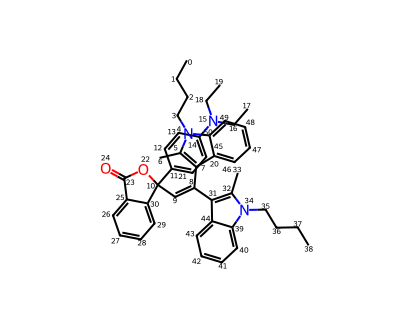 CCCCn1c(C)c(C(=CC2(c3ccc(N(CC)CC)cc3)OC(=O)c3ccccc32)c2c(C)n(CCCC)c3ccccc23)c2ccccc21